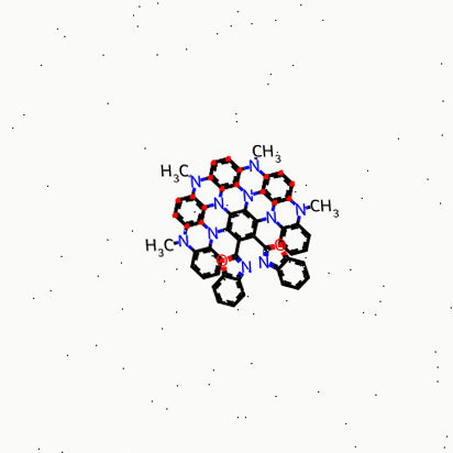 CN1c2ccccc2N(c2c(-c3nc4ccccc4o3)c(-c3nc4ccccc4o3)c(N3c4ccccc4N(C)c4ccccc43)c(N3c4ccccc4N(C)c4ccccc43)c2N2c3ccccc3N(C)c3ccccc32)c2ccccc21